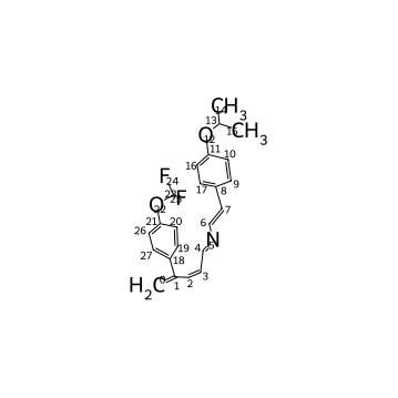 C=C(\C=C/C=N/C=C/c1ccc(OC(C)C)cc1)c1ccc(OC(F)F)cc1